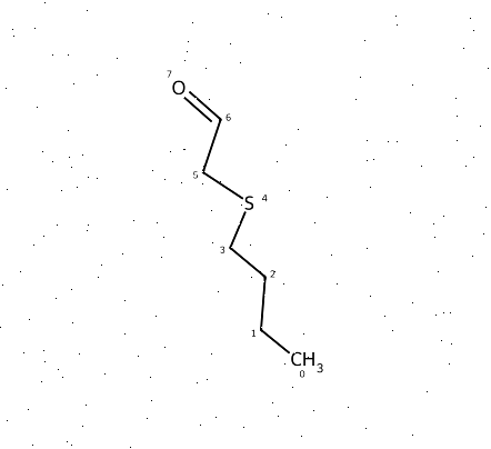 CCCCSCC=O